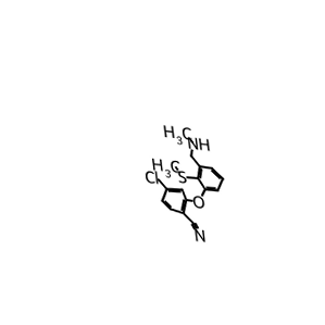 CNCc1cccc(Oc2cc(Cl)ccc2C#N)c1SC